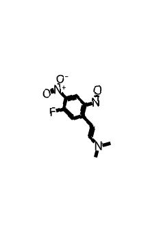 CN(C)/C=C/c1cc(F)c([N+](=O)[O-])cc1N=O